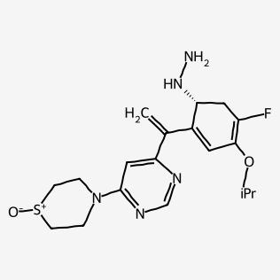 C=C(C1=CC(OC(C)C)=C(F)C[C@H]1NN)c1cc(N2CC[S+]([O-])CC2)ncn1